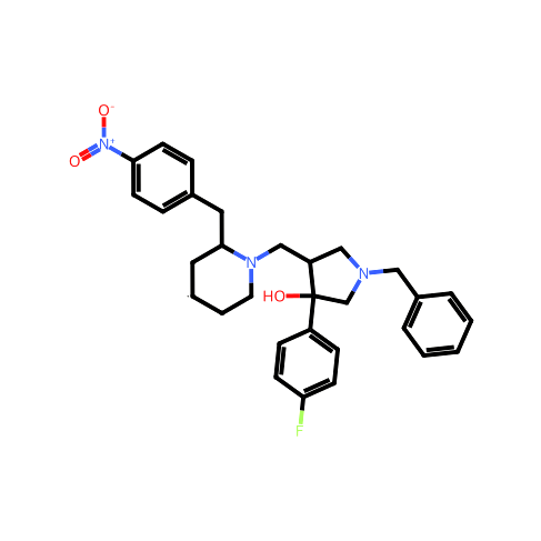 O=[N+]([O-])c1ccc(CC2C[CH]CCN2CC2CN(Cc3ccccc3)CC2(O)c2ccc(F)cc2)cc1